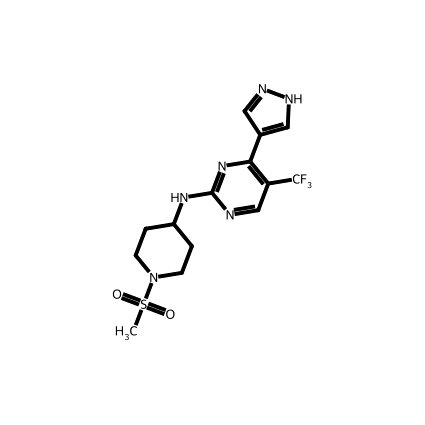 CS(=O)(=O)N1CCC(Nc2ncc(C(F)(F)F)c(-c3cn[nH]c3)n2)CC1